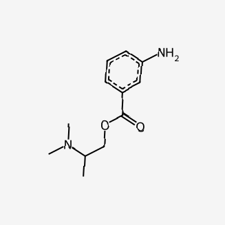 CC(COC(=O)c1cccc(N)c1)N(C)C